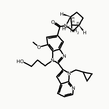 COc1cc(C(=O)N2C[C@H]3CC[C@@H]2[C@@H]3N)cc2nc(-c3cc4cccnc4n3CC3CC3)n(CCCO)c12